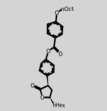 CCCCCCCCOc1ccc(C(=O)Oc2ccc([C@H]3C[C@@H](CCCCCC)OC3=O)cc2)cc1